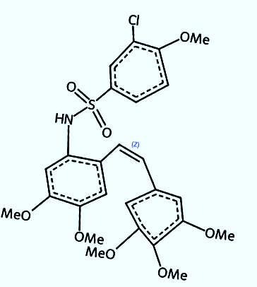 COc1ccc(S(=O)(=O)Nc2cc(OC)c(OC)cc2/C=C\c2cc(OC)c(OC)c(OC)c2)cc1Cl